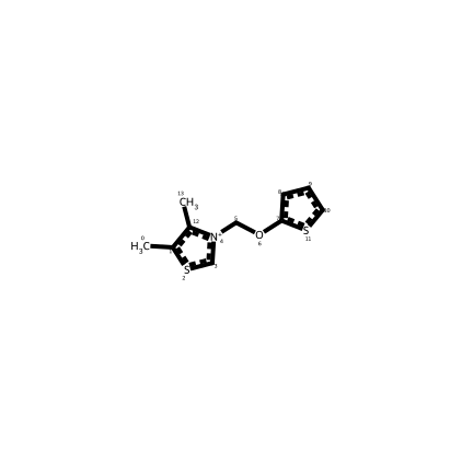 Cc1sc[n+](COc2cccs2)c1C